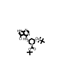 CC(C)(C)OC(=O)N1C[C@H](Nc2ncnc3[nH]cc(Cl)c23)C[C@H](O[Si](C)(C)C(C)(C)C)C1